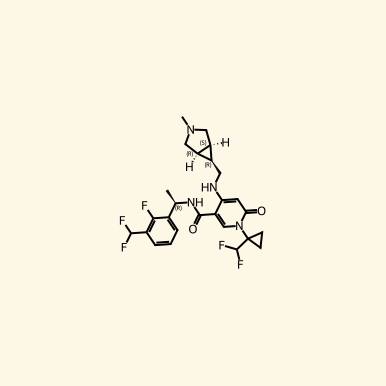 C[C@@H](NC(=O)c1cn(C2(C(F)F)CC2)c(=O)cc1NC[C@H]1[C@H]2CN(C)C[C@@H]12)c1cccc(C(F)F)c1F